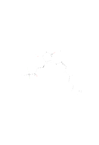 CCCCC(F)(F)C(=O)CC[C@@H]1C(C/C=C\CCCCC(=O)O)C(=O)C[C@H]1O